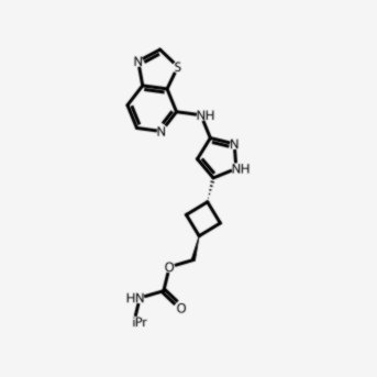 CC(C)NC(=O)OC[C@H]1C[C@H](c2cc(Nc3nccc4ncsc34)n[nH]2)C1